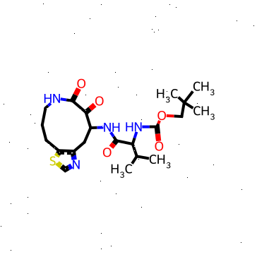 CC(C)C(NC(=O)OCC(C)(C)C)C(=O)NC1Cc2ncsc2CCCNC(=O)C1=O